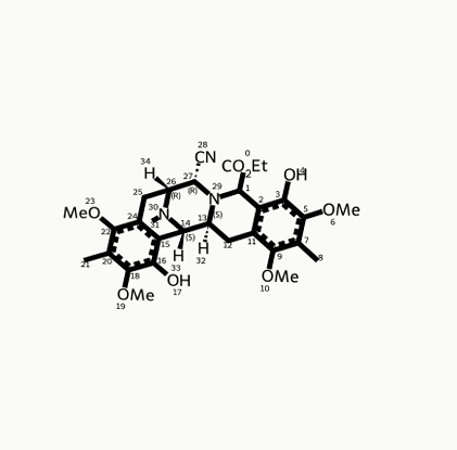 CCOC(=O)C1c2c(O)c(OC)c(C)c(OC)c2C[C@H]2[C@@H]3c4c(O)c(OC)c(C)c(OC)c4C[C@H]([C@H](C#N)N12)N3C